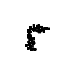 COC(=O)NC(C(=O)N1CCCC1c1ncc(C(=O)c2cc(-c3ccc4nc(C5CCCN5C(=O)C(NC(=O)OC)C(C)C)[nH]c4c3)cs2)[nH]1)C(C)C